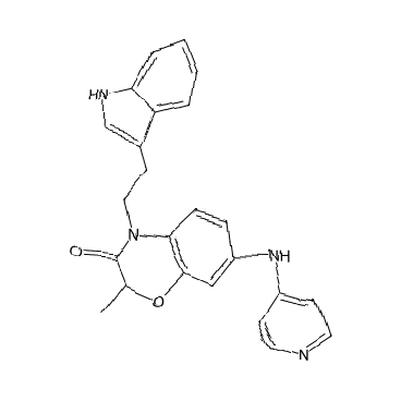 CC1Oc2cc(Nc3ccncc3)ccc2N(CCc2c[nH]c3ccccc23)C1=O